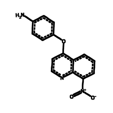 Nc1ccc(Oc2ccnc3c([N+](=O)[O-])cccc23)cc1